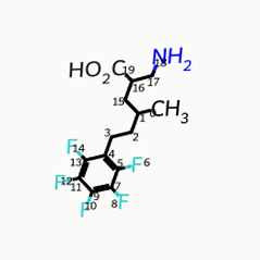 CC(CCc1c(F)c(F)c(F)c(F)c1F)CC(CN)C(=O)O